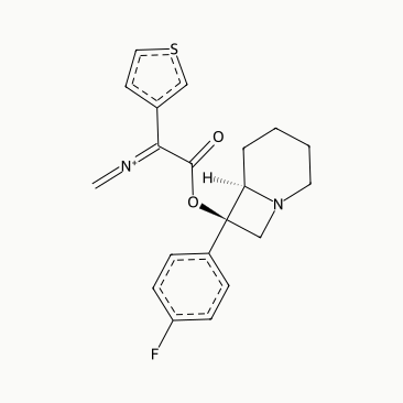 C=[N+]=C(C(=O)O[C@]1(c2ccc(F)cc2)CN2CCCC[C@@H]21)c1ccsc1